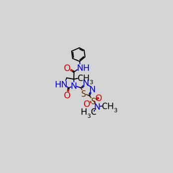 CN(C)S(=O)(=O)c1nnc(N2C(=O)NCC2(C)C(=O)Nc2ccccc2)s1